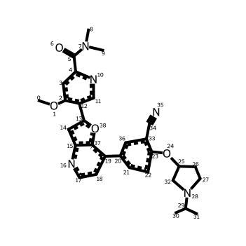 COc1cc(C(=O)N(C)C)ncc1-c1cc2nccc(-c3ccc(OC4CCN(C(C)C)C4)c(C#N)c3)c2o1